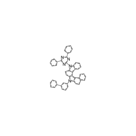 c1ccc(-c2cccc(-n3c4ccc5ccccc5c4c4c5c6ccccc6n(-c6nc(-c7ccccc7)nc(-c7ccccc7)n6)c5ccc43)c2)cc1